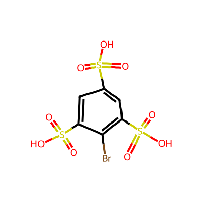 O=S(=O)(O)c1cc(S(=O)(=O)O)c(Br)c(S(=O)(=O)O)c1